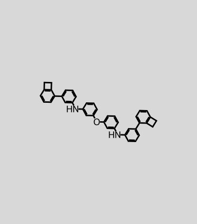 c1cc(Nc2cccc(-c3cccc4c3CC4)c2)cc(Oc2cccc(Nc3cccc(-c4cccc5c4CC5)c3)c2)c1